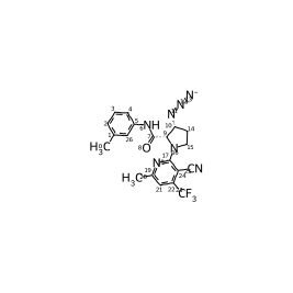 Cc1cccc(NC(=O)[C@@H]2[C@H](N=[N+]=[N-])CCN2c2nc(C)cc(C(F)(F)F)c2C#N)c1